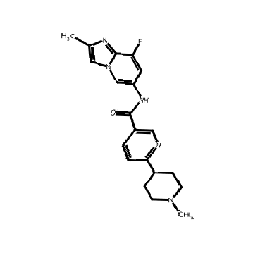 Cc1cn2cc(NC(=O)c3ccc(C4CCN(C)CC4)nc3)cc(F)c2n1